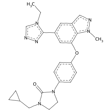 CCn1cnnc1-c1cc(Oc2ccc(N3CCN(CC4CC4)C3=O)cc2)c2c(cnn2C)c1